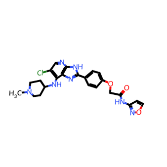 CN1CCC(Nc2c(Cl)cnc3[nH]c(-c4ccc(OCC(=O)Nc5ccon5)cc4)nc23)CC1